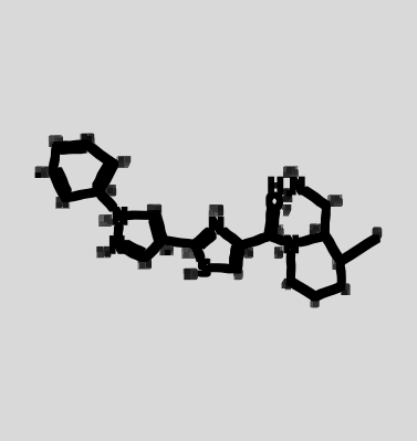 CC1CCCN(C(=O)c2csc(-c3cnn(-c4ccccc4)c3)n2)C1CN